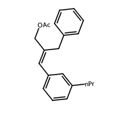 CCCc1cccc(C=C(COC(C)=O)Cc2ccccc2)c1